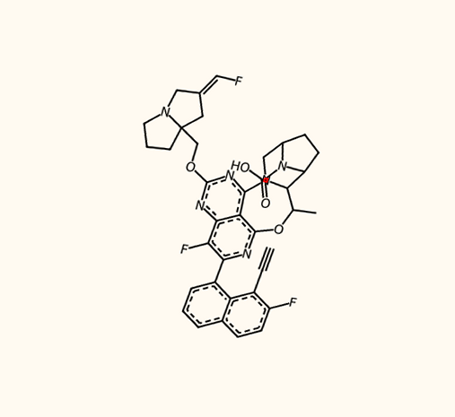 C#Cc1c(F)ccc2cccc(-c3nc4c5c(nc(OCC67CCCN6CC(=CF)C7)nc5c3F)N3CC5CCC(C3C(C)O4)N5C(=O)O)c12